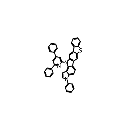 c1ccc(-c2cc(-c3ccccc3)nc(-n3c4cc5c(cc4c4ccc6c(ccn6-c6ccccc6)c43)sc3ccccc35)c2)cc1